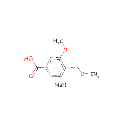 COCc1ccc(C(=O)O)cc1OC.[NaH]